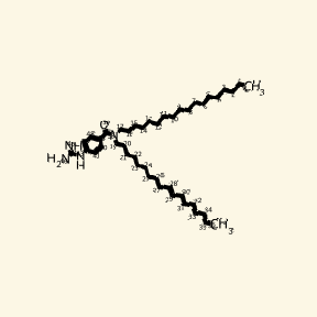 CCCCCCCCCCCCCCCCCCN(CCCCCCCCCCCCCCCCCC)C(=O)c1ccc(NC(=N)N)cc1